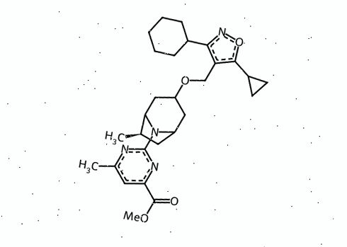 COC(=O)c1cc(C)nc(N2C3CC(OCc4c(C5CCCCC5)noc4C4CC4)CC2[C@H](C)C3)n1